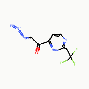 [N-]=[N+]=NCC(=O)c1ccnc(C(F)(F)F)n1